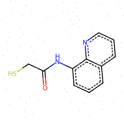 O=C(CS)Nc1cccc2cccnc12